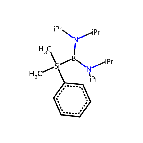 CC(C)N(B(N(C(C)C)C(C)C)[Si](C)(C)c1ccccc1)C(C)C